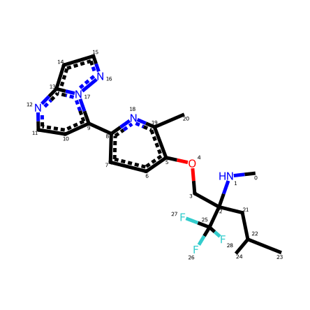 CNC(COc1ccc(-c2ccnc3ccnn23)nc1C)(CC(C)C)C(F)(F)F